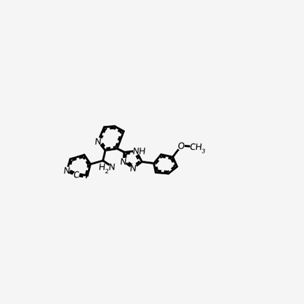 COc1cccc(-c2nnc(-c3cccnc3C(N)c3ccncc3)[nH]2)c1